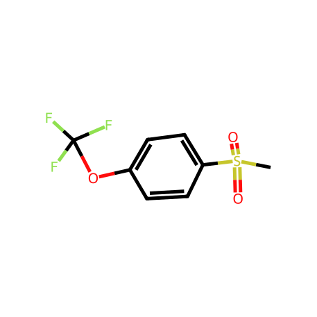 CS(=O)(=O)c1ccc(OC(F)(F)F)cc1